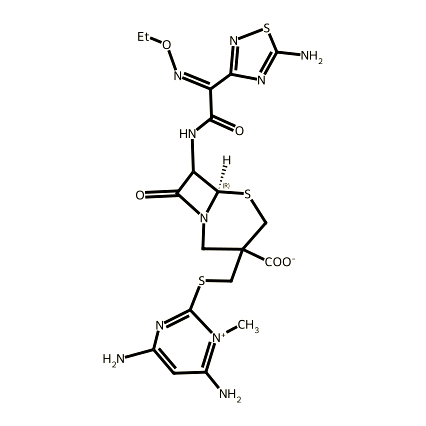 CCON=C(C(=O)NC1C(=O)N2CC(CSc3nc(N)cc(N)[n+]3C)(C(=O)[O-])CS[C@H]12)c1nsc(N)n1